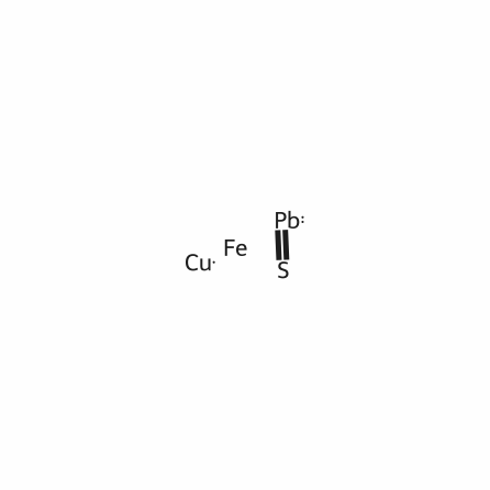 [Cu].[Fe].[S]=[Pb]